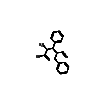 NC(C(=O)O)C(c1ccccc1)N(C=O)Cc1ccccc1